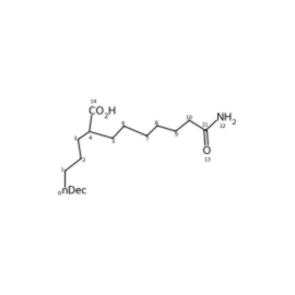 CCCCCCCCCCCCCC(CCCCCCC(N)=O)C(=O)O